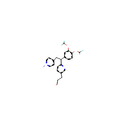 [O-][n+]1ccc(CC(c2ccc(OC(F)F)c(OC(F)F)c2)c2ccc(CCCO)cn2)cc1